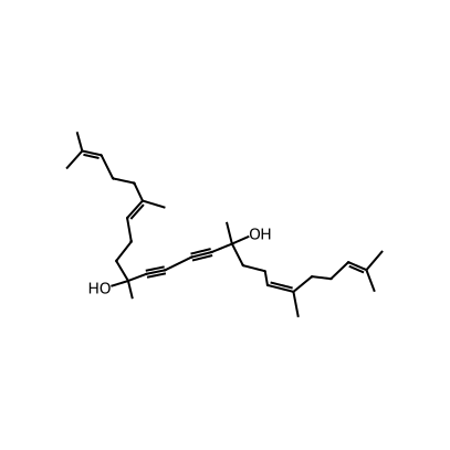 CC(C)=CCCC(C)=CCCC(C)(O)C#CC#CC(C)(O)CCC=C(C)CCC=C(C)C